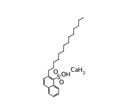 CCCCCCCCCCCCCCc1ccc2ccccc2c1S(=O)(=O)O.[CaH2]